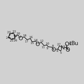 CC(C)(C)OC(=O)N1CC(OCCCCCOCCCCCOCc2ccccc2)C1